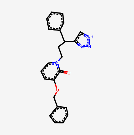 O=c1c(OCc2ccccc2)cccn1CCC(c1ccccc1)c1c[nH]nn1